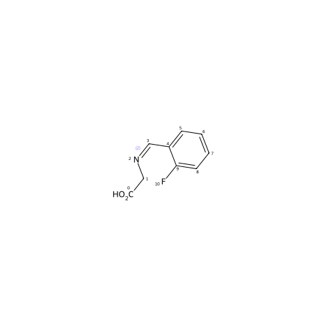 O=C(O)C/N=C\c1ccccc1F